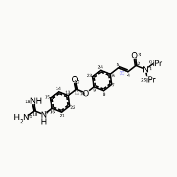 CC(C)N(C(=O)/C=C/c1ccc(OC(=O)c2ccc(NC(=N)N)cc2)cc1)C(C)C